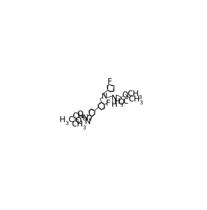 CC(C)(C)OC(=O)CNCCN(Cc1cccc(F)c1)Cc1cc(-c2ccc3c(cnn3C(=O)OC(C)(C)C)c2)ccc1F